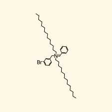 CCCCCCCCCCCCCC[N+](CCCCCCCCCCCCCC)(Cc1ccccc1)Cc1ccccc1.[Br-]